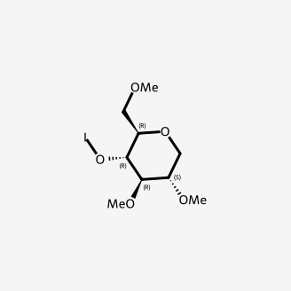 COC[C@H]1OC[C@H](OC)[C@@H](OC)[C@@H]1OI